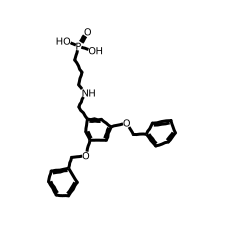 O=P(O)(O)CCCNCc1cc(OCc2ccccc2)cc(OCc2ccccc2)c1